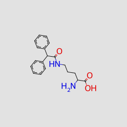 NC(CCCNC(=O)C(c1ccccc1)c1ccccc1)C(=O)O